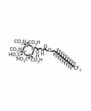 O=C(O)C[N+]1(CC(=O)O)CCN(CC(O)CNC(=O)COCCC(F)(F)C(F)(F)C(F)(F)C(F)(F)C(F)(F)C(F)(F)C(F)(F)C(F)(F)C(F)(F)C(F)(F)F)CC[N+](CC(=O)O)(CC(=O)O)CC[N+](CC(=O)O)(CC(=O)O)CC1